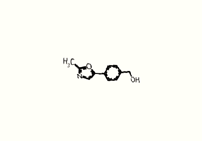 Cc1ncc(-c2ccc(CO)cc2)o1